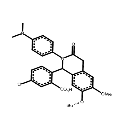 CC[C@@H](C)Oc1cc2c(cc1OC)CC(=O)N(c1ccc(N(C)C)cc1)C2c1ccc(Cl)cc1C(=O)O